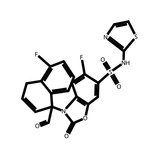 O=CC1(n2c(=O)oc3cc(S(=O)(=O)Nc4nccs4)c(F)cc32)C=CCc2c(F)cccc21